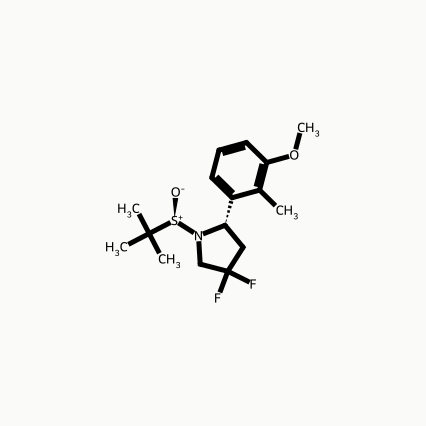 COc1cccc([C@@H]2CC(F)(F)CN2[S@+]([O-])C(C)(C)C)c1C